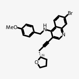 COc1ccc(CNc2c(C#CC[C@@H]3CCCO3)cnc3cc(Br)ccc23)cc1